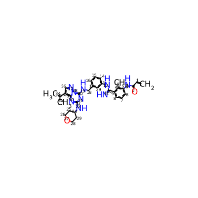 C=CC(=O)Nc1cccc(C(=N)Nc2cccc(CNc3nc(NC4CCOCC4)nc4c(C(C)C)cnn34)c2)c1C